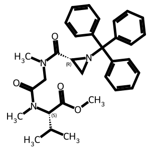 COC(=O)[C@H](C(C)C)N(C)C(=O)CN(C)C(=O)[C@H]1CN1C(c1ccccc1)(c1ccccc1)c1ccccc1